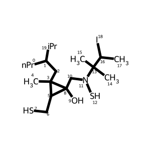 CCCC(CC1(C)C(CS)C1(O)CN(S)C(C)(C)C(C)I)C(C)C